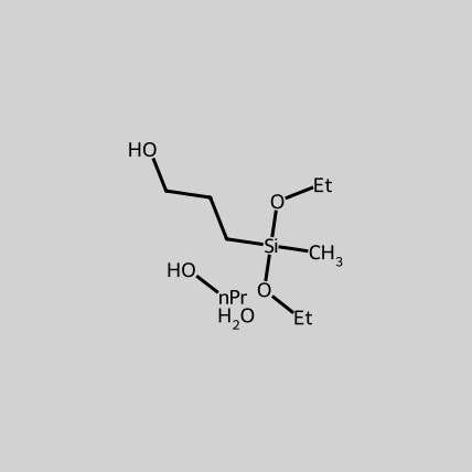 CCCO.CCO[Si](C)(CCCO)OCC.O